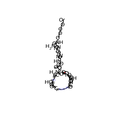 CO[C@H]1C[C@@H]2CC[C@@H](C)[C@@](O)(O2)C(=O)C(=O)N2CCCC[C@H]2C(=O)O[C@H]([C@H](N)C[C@@H]2CC[C@@H](OC(=O)NCc3cnc(N4CCN(c5ncc(C(=O)NCCOCCOCCOCCOCCC(C)=O)c(N)n5)CC4)nc3)[C@H](OC)C2)CC(=O)[C@H](C)/C=C(\C)[C@@H](O)[C@@H](OC)C(=O)[C@H](C)C[C@H](C)/C=C/C=C/C=C/1C